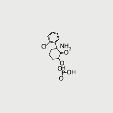 N[C@@]1(c2ccccc2Cl)CCC[C@H](OO[PH](=O)O)C1=O